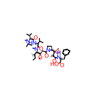 CC[C@H](C)[C@@H]([C@@H](CC(=O)N1CC[C@H]1[C@H](OC)[C@@H](C)C(=O)N[C@@H](Cc1ccccc1)C(=O)O)OC)N(C)C(=O)[C@@H](NC(=O)[C@H](C(C)C)N(C)C(C)C)C(C)C